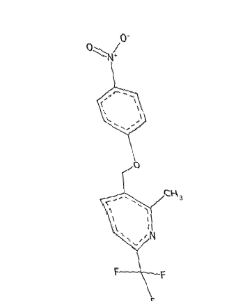 Cc1nc(C(F)(F)F)ccc1COc1ccc([N+](=O)[O-])cc1